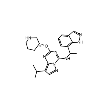 CC(C)c1cnn2c(NC(C)c3cccc4cn[nH]c34)nc(O[C@@H]3CCCNC3)nc12